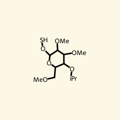 COCC1OC(OS)C(OC)C(OC)C1OC(C)C